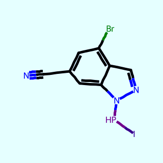 N#Cc1cc(Br)c2cnn(PI)c2c1